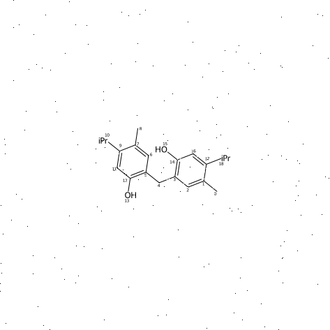 Cc1cc(Cc2cc(C)c(C(C)C)cc2O)c(O)cc1C(C)C